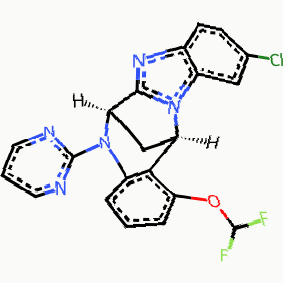 FC(F)Oc1cccc2c1[C@H]1C[C@H](c3nc4ccc(Cl)cc4n31)N2c1ncccn1